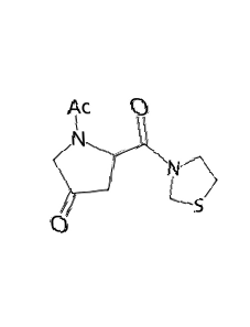 CC(=O)N1CC(=O)CC1C(=O)N1CCSC1